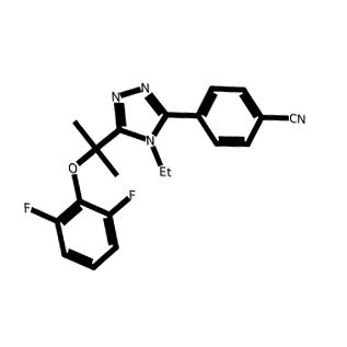 CCn1c(-c2ccc(C#N)cc2)nnc1C(C)(C)Oc1c(F)cccc1F